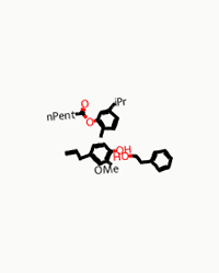 C=CCc1ccc(O)c(OC)c1.CCCCCC(=O)Oc1cc(C(C)C)ccc1C.OCCc1ccccc1